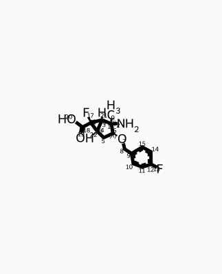 C[C@@]1(N)[C@H]2[C@@H](C[C@H]1OCc1ccc(F)cc1)[C@]2(F)C(=O)O